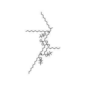 CCCCCCCCCCC(C)CN(CCCCC1OC(=O)C(CCCCN(CC(CCCCCCCCCC)O[Si](C)(C)C(C)(C)C)CC(CCCCCCCCCC)O[Si](C)(C)C(C)(C)C)OC1=O)CC(CCCCCCCCCC)O[Si](C)(C)C(C)(C)C